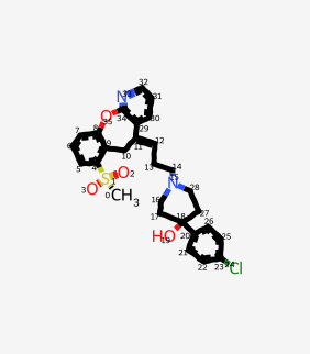 CS(=O)(=O)c1cccc2c1CC(=CCCN1CCC(O)(c3ccc(Cl)cc3)CC1)c1cccnc1O2